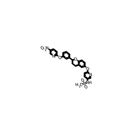 CS(=O)(=O)Nc1ccc(Oc2ccc3c(c2)CCC(c2cccc(Oc4ccc([N+](=O)[O-])cn4)c2)O3)nc1